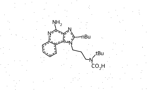 CCCCc1nc2c(N)nc3ccccc3c2n1CCCN(C(=O)O)C(C)(C)C